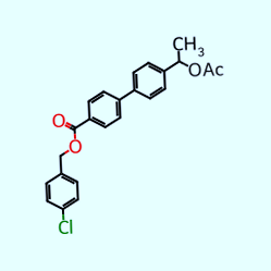 CC(=O)OC(C)c1ccc(-c2ccc(C(=O)OCc3ccc(Cl)cc3)cc2)cc1